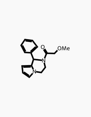 COCC(=O)N1CCn2cccc2C1c1ccccc1